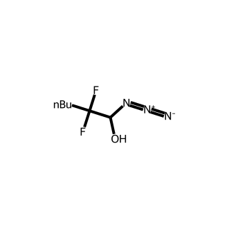 CCCCC(F)(F)C(O)N=[N+]=[N-]